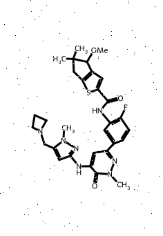 COC1c2cc(C(=O)Nc3cc(-c4cc(Nc5cc(CN6CCC6)n(C)n5)c(=O)n(C)n4)ccc3F)sc2CC1(C)C